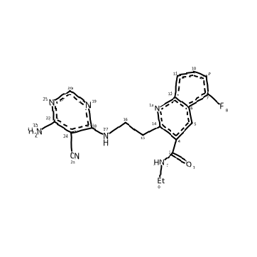 CCNC(=O)c1cc2c(F)cccc2nc1CCNc1ncnc(N)c1C#N